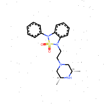 C[C@@H]1CN(CCN2c3ccccc3N(c3ccccc3)S2(=O)=O)C[C@H](C)N1